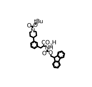 CC(C)(C)OC(=O)N1CCC(c2cccc(C[C@H](NC(=O)OCC3c4ccccc4-c4ccccc43)C(=O)O)c2)CC1